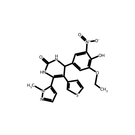 CCOc1cc(C2NC(=O)NC(c3ccnn3C)=C2c2ccsc2)cc([N+](=O)[O-])c1O